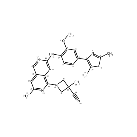 COc1cc(-c2nc(C)oc2C)ccc1Nc1ncc2cc(C)nc(N3CC(C)(C#N)C3)c2n1